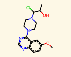 COc1ccc2ncnc(N3CCN(C(Cl)C(C)O)CC3)c2c1